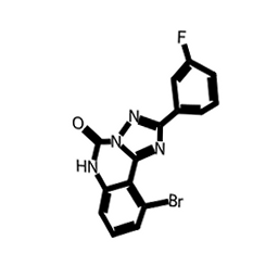 O=c1[nH]c2cccc(Br)c2c2nc(-c3cccc(F)c3)nn12